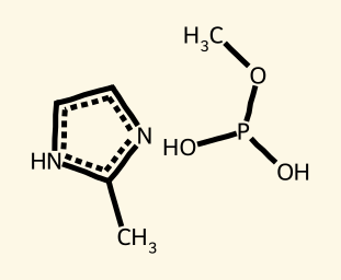 COP(O)O.Cc1ncc[nH]1